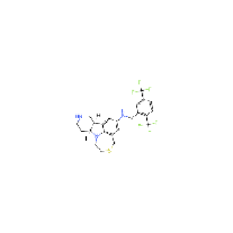 FC(F)(F)c1ccc(C(F)(F)F)c(CNc2cc3c4c(c2)[C@@H]2CNCC[C@@H]2N4CCSC3)c1